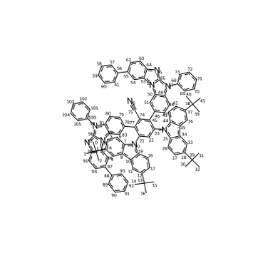 CC(C)(C)c1ccc2c(c1)c1cc(C(C)(C)C)ccc1n2-c1cc(-n2c3ccc(C(C)(C)C)cc3c3cc(C(C)(C)C)ccc32)c(-c2ccc3c(c2)n2c4cc(-c5ccccc5)ccc4nc2n3-c2ccccc2)c(C#N)c1-c1ccc2c(c1)n1c3cc(-c4ccccc4)ccc3nc1n2-c1ccccc1